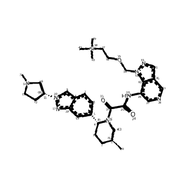 C[C@H]1CC[C@H](c2ccc3cn([C@@H]4CCN(C)C4)nc3c2)N(C(=O)C(=O)Nc2cncc3cnn(COCC[Si](C)(C)C)c23)C1